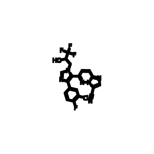 N#Cc1cnc2ccc(-c3c(-c4ccc(F)c(Cl)c4)ncn3CC(O)C(F)(F)F)nn12